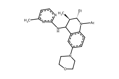 CC[C@H]1[C@H](C)C(Nc2nccc(C)n2)c2cc(N3CCOCC3)ccc2N1C(C)=O